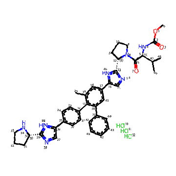 COC(=O)N[C@H](C(=O)N1CCC[C@H]1c1ncc(-c2cc(C)c(-c3ccc(-c4cnc([C@@H]5CCCN5)[nH]4)cc3)c(-c3ccccc3)c2)[nH]1)C(C)C.Cl.Cl.Cl